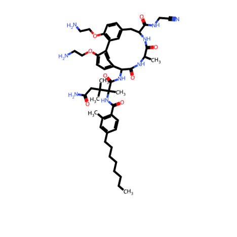 CCCCCCCCc1ccc(C(=O)NC(C)(C(=O)NC2C(=O)NC(C)C(=O)NC(C(=O)NCC#N)Cc3ccc(OCCN)c(c3)-c3cc2ccc3OCCN)C(C)(C)CC(N)=O)c(C)c1